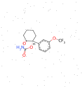 NC(=O)O[C@@]1(c2cccc(OC(F)(F)F)c2)CCCCC1=O